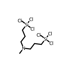 CN(CCC[Si](Cl)(Cl)Cl)CCC[Si](Cl)(Cl)Cl